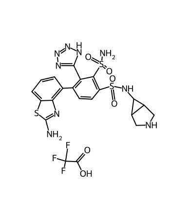 Nc1nc2c(-c3ccc(S(=O)(=O)NC4C5CNCC54)c(S(N)(=O)=O)c3-c3nnn[nH]3)cccc2s1.O=C(O)C(F)(F)F